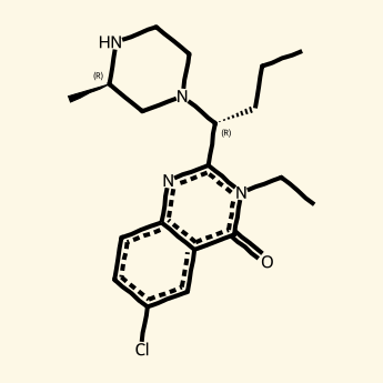 CCC[C@H](c1nc2ccc(Cl)cc2c(=O)n1CC)N1CCN[C@H](C)C1